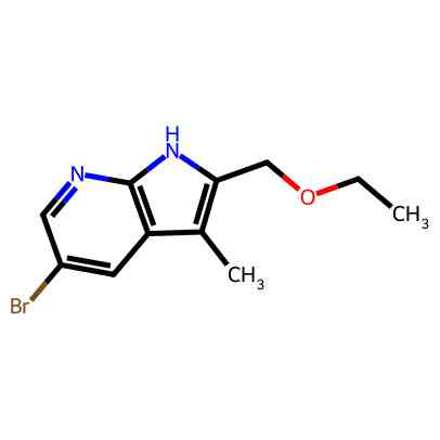 CCOCc1[nH]c2ncc(Br)cc2c1C